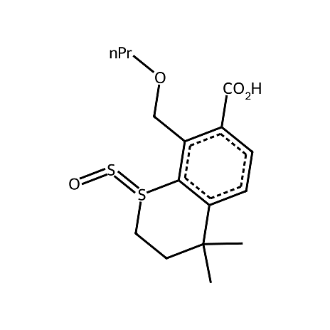 CCCOCc1c(C(=O)O)ccc2c1S(=S=O)CCC2(C)C